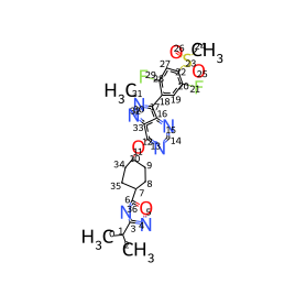 CC(C)c1noc(C2CCC(Oc3ncnc4c(-c5cc(F)c(S(C)(=O)=O)cc5F)n(C)nc34)CC2)n1